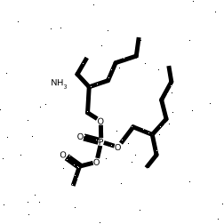 CCCCC(CC)COP(=O)(OCC(CC)CCCC)OC(C)=O.N